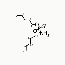 CCCCCOP(N)(=S)OCCCCC